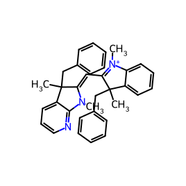 CN1C(=CC2=[N+](C)c3ccccc3C2(C)Cc2ccccc2)C(C)(Cc2ccccc2)c2cccnc21